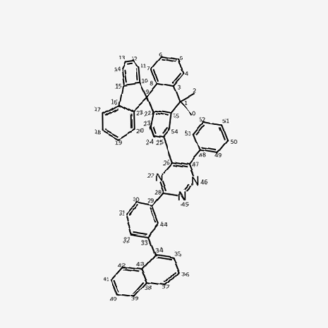 CC1(C)c2ccccc2C2(c3ccccc3-c3ccccc32)c2ccc(-c3nc(-c4cccc(-c5cccc6ccccc56)c4)nnc3-c3ccccc3)cc21